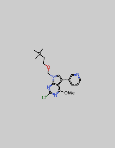 COc1nc(Cl)nc2c1c(-c1cccnc1)cn2COCC[Si](C)(C)C